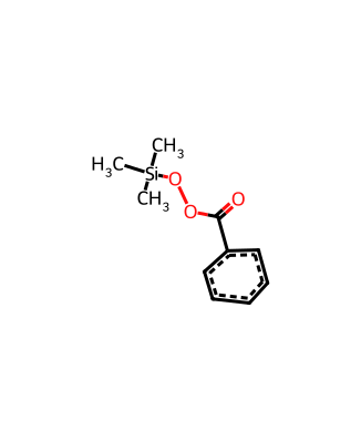 C[Si](C)(C)OOC(=O)c1ccccc1